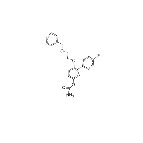 NC(=O)Oc1ccc(OCCOCc2ccccc2)c(-c2ccc(F)cc2)c1